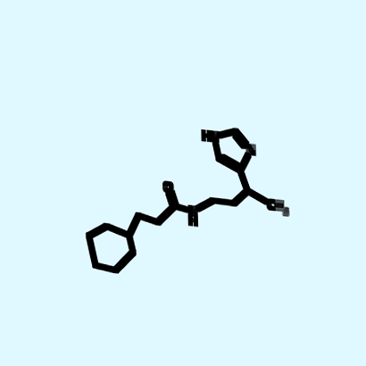 CC(CCNC(=O)CCC1CCCCC1)c1c[nH]cn1